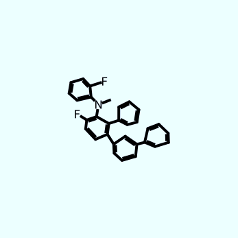 CN(c1ccccc1F)c1c(F)ccc(-c2cccc(-c3ccccc3)c2)c1-c1ccccc1